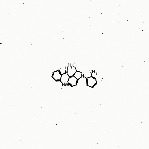 CNc1ccccc1Nc1cccc2c1C(C)CN2c1ccccc1C